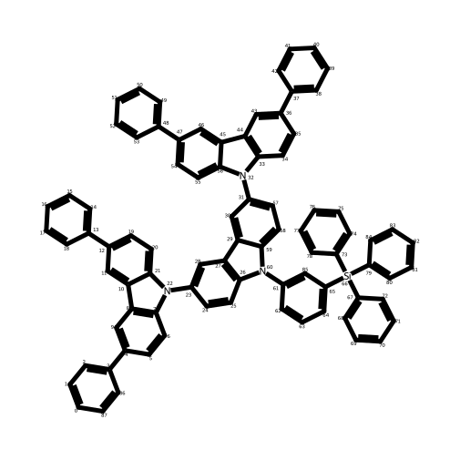 c1ccc(-c2ccc3c(c2)c2cc(-c4ccccc4)ccc2n3-c2ccc3c(c2)c2cc(-n4c5ccc(-c6ccccc6)cc5c5cc(-c6ccccc6)ccc54)ccc2n3-c2cccc([Si](c3ccccc3)(c3ccccc3)c3ccccc3)c2)cc1